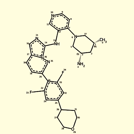 C[C@@H]1C[C@H](N)CN(c2ccncc2Nc2ncc3ccc(-c4c(F)cc(C5CCOCC5)cc4F)nn23)C1